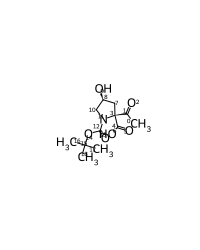 CC(=O)[C@]1(C(=O)O)C[C@H](O)CN1C(=O)OC(C)(C)C